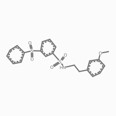 COc1cccc(CCNS(=O)(=O)c2cccc(S(=O)(=O)c3ccccc3)c2)c1